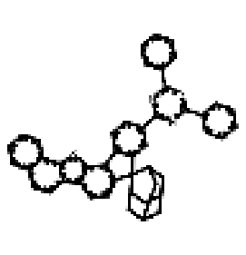 c1ccc(-c2nc(-c3ccccc3)nc(-c3ccc4c(c3)C3(c5ccc6c(sc7c8ccccc8ccc67)c5-4)C4CC5CC(C4)CC3C5)n2)cc1